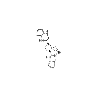 Cc1ccccc1NC(N=N)N1CCN(C2CNc3ccccc3N2)CC12CCC2